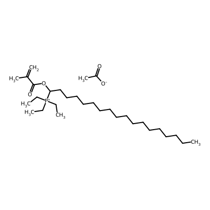 C=C(C)C(=O)OC(CCCCCCCCCCCCCCCCC)[P+](CC)(CC)CC.CC(=O)[O-]